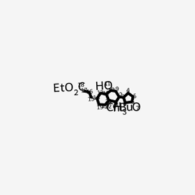 CCCCC1C(C2CCC(=O)C2)C[C@H](O)C2C[C@@H](CCCC(=O)OCC)CC[C@]12C